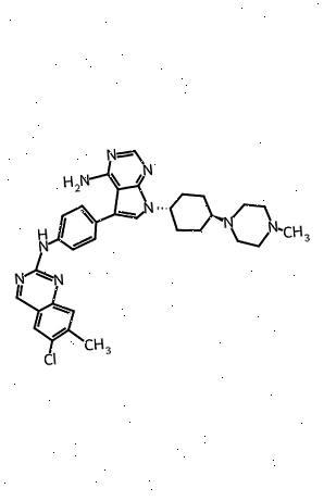 Cc1cc2nc(Nc3ccc(-c4cn([C@H]5CC[C@H](N6CCN(C)CC6)CC5)c5ncnc(N)c45)cc3)ncc2cc1Cl